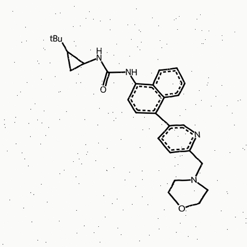 CC(C)(C)C1CC1NC(=O)Nc1ccc(-c2ccc(CN3CCOCC3)nc2)c2ccccc12